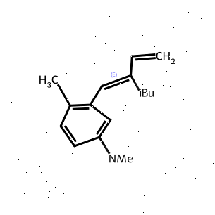 C=C/C(=C/c1cc(NC)ccc1C)C(C)CC